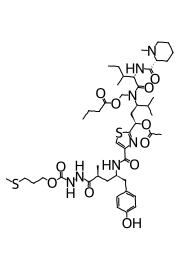 CCCC(=O)OCN(C(=O)[C@@H](NC(=O)[C@H]1CCCCN1C)C(C)CC)[C@H](C[C@@H](OC(C)=O)c1nc(C(=O)N[C@@H](Cc2ccc(O)cc2)C[C@H](C)C(=O)NNC(=O)OCCCSC)cs1)C(C)C